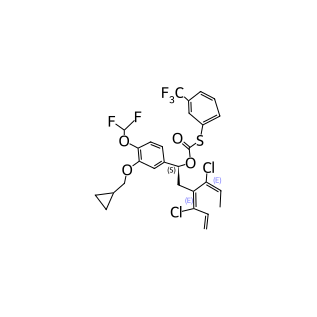 C=C/C(Cl)=C(C[C@H](OC(=O)Sc1cccc(C(F)(F)F)c1)c1ccc(OC(F)F)c(OCC2CC2)c1)\C(Cl)=C/C